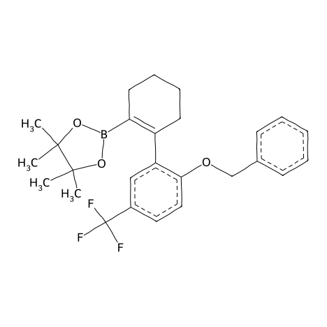 CC1(C)OB(C2=C(c3cc(C(F)(F)F)ccc3OCc3ccccc3)CCCC2)OC1(C)C